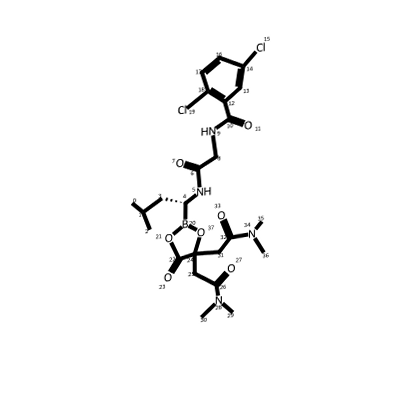 CC(C)C[C@H](NC(=O)CNC(=O)c1cc(Cl)ccc1Cl)B1OC(=O)C(CC(=O)N(C)C)(CC(=O)N(C)C)O1